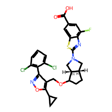 O=C(O)c1cc(F)c2nc(N3C[C@@H]4CCC(OCc5c(-c6c(Cl)cccc6Cl)noc5C5CC5)[C@@H]4C3)sc2c1